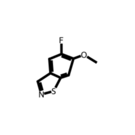 COc1cc2sncc2cc1F